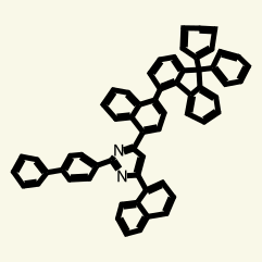 c1ccc(-c2ccc(-c3nc(-c4cccc5ccccc45)cc(-c4ccc(-c5cccc6c5-c5ccccc5C6(c5ccccc5)c5ccccc5)c5ccccc45)n3)cc2)cc1